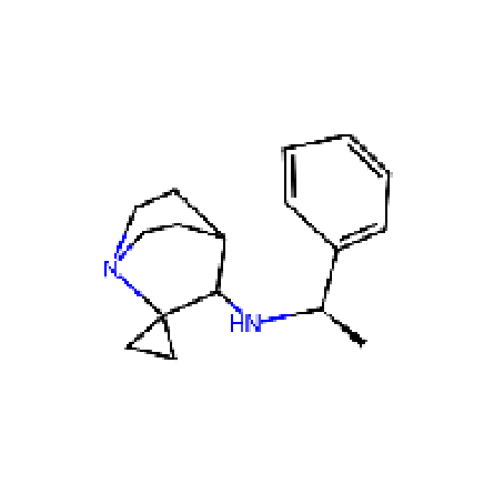 C[C@@H](NC1C2CCN(CC2)C12CC2)c1ccccc1